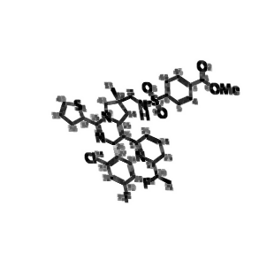 COC(=O)c1ccc(S(=O)(=O)NC[C@]2(C)CC3=C(C4=NC([C@@H](C)F)CC=C4)[C@H](c4ccc(F)cc4Cl)N=C(C4CC=CS4)N3C2)cc1